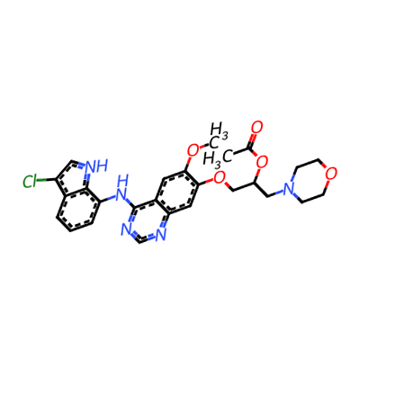 COc1cc2c(Nc3cccc4c(Cl)c[nH]c34)ncnc2cc1OCC(CN1CCOCC1)OC(C)=O